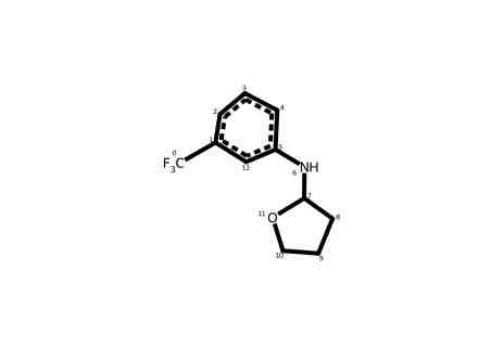 FC(F)(F)c1cccc(NC2CCCO2)c1